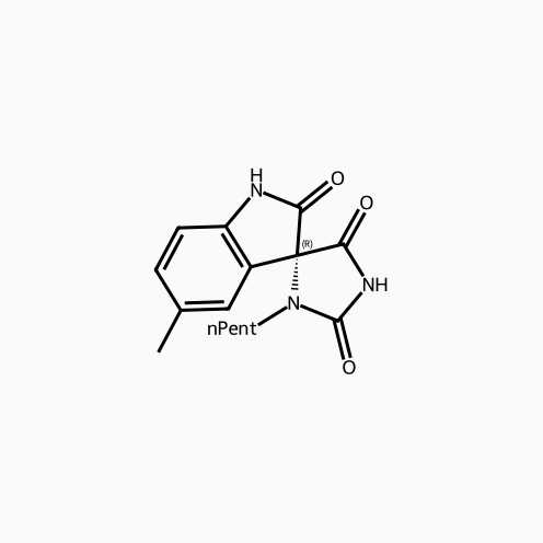 CCCCCN1C(=O)NC(=O)[C@@]12C(=O)Nc1ccc(C)cc12